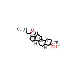 C[C@]12CC[C@H]3[C@@H](CC[C@@H]4C[C@@](O)(C(F)(F)F)CC[C@@H]43)[C@@H]1CC[C@@H]2C(=O)CC(=O)O